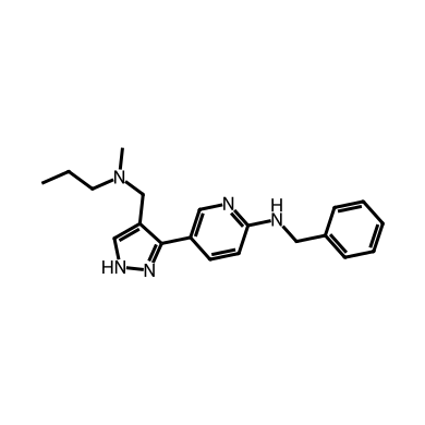 CCCN(C)Cc1c[nH]nc1-c1ccc(NCc2ccccc2)nc1